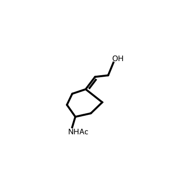 CC(=O)NC1CCC(=CCO)CC1